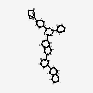 c1ccc(-c2nc(-c3ccc(C4CC5CCC4C5)cc3)nc(-c3ccc4cc(-c5cccc(-c6ccc7ccccc7c6)c5)ccc4c3)n2)cc1